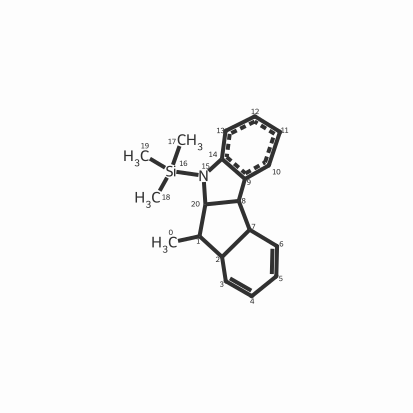 CC1C2C=CC=CC2C2c3ccccc3N([Si](C)(C)C)C12